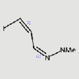 CN/N=C\C=C/I